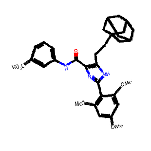 COc1cc(OC)c(-c2nc(C(=O)Nc3cccc(C(=O)O)c3)c(CCC34CC5CC(CC(C5)C3)C4)[nH]2)c(OC)c1